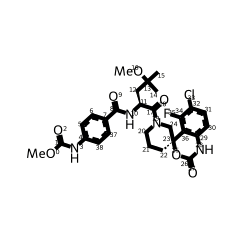 COC(=O)Nc1ccc(C(=O)N[C@@H](CC(C)(C)OC)C(=O)N2CCC[C@@]3(C2)OC(=O)Nc2ccc(Cl)c(F)c23)cc1